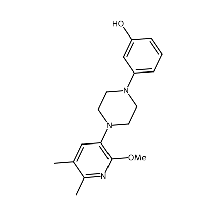 COc1nc(C)c(C)cc1N1CCN(c2cccc(O)c2)CC1